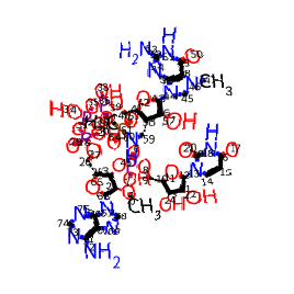 CO[C@@H]1[C@H](OP(=O)(O)OC[C@H]2O[C@@H](n3ccc(=O)[nH]c3=O)[C@H](O)[C@@H]2O)[C@@H](COP(=O)(O)OP(=O)(O)OP(=O)(O)OC[C@H]2O[C@@H](n3c[n+](C)c4c(=O)[nH]c(N)nc43)[C@H](O)[C@@H]2CNS(C)(=O)=O)O[C@H]1n1cnc2c(N)ncnc21